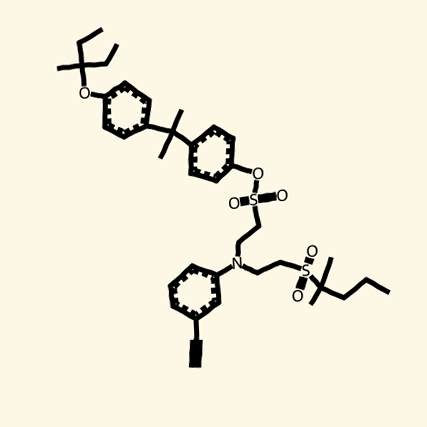 C#Cc1cccc(N(CCS(=O)(=O)Oc2ccc(C(C)(C)c3ccc(OC(C)(CC)CC)cc3)cc2)CCS(=O)(=O)C(C)(C)CCC)c1